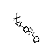 CCOP(=O)(NCc1ccccc1)c1ccc(-c2noc(C(F)(F)Cl)n2)cc1